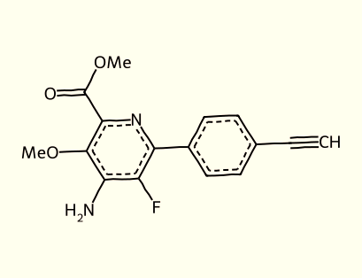 C#Cc1ccc(-c2nc(C(=O)OC)c(OC)c(N)c2F)cc1